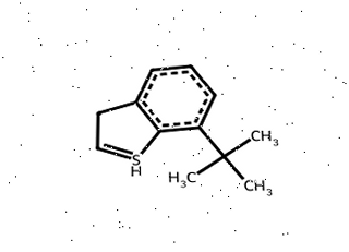 CC(C)(C)c1cccc2c1[SH]=CC2